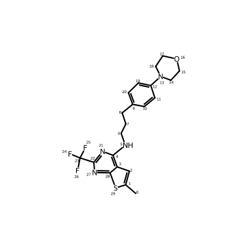 Cc1cc2c(NCCCc3ccc(N4CCOCC4)cc3)nc(C(F)(F)F)nc2s1